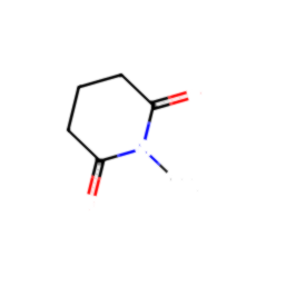 CCOC(=O)N1C(=O)CCCC1=O